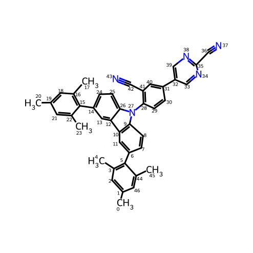 Cc1cc(C)c(-c2ccc3c(c2)c2cc(-c4c(C)cc(C)cc4C)ccc2n3-c2ccc(-c3cnc(C#N)nc3)cc2C#N)c(C)c1